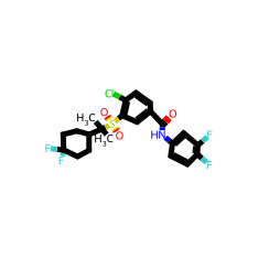 CC(C)(C1CCC(F)(F)CC1)S(=O)(=O)c1cc(C(=O)Nc2ccc(F)c(F)c2)ccc1Cl